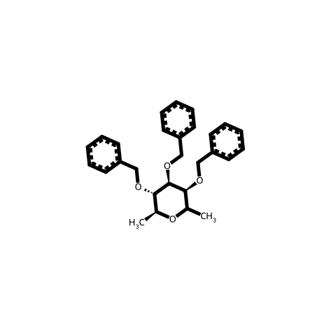 CC1O[C@@H](C)[C@H](OCc2ccccc2)[C@@H](OCc2ccccc2)[C@H]1OCc1ccccc1